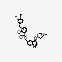 O=C(NCc1ccc2nccc(OC3CCNCC3)c2c1)c1cccn(Cc2ccc(F)c(F)c2)c1=O